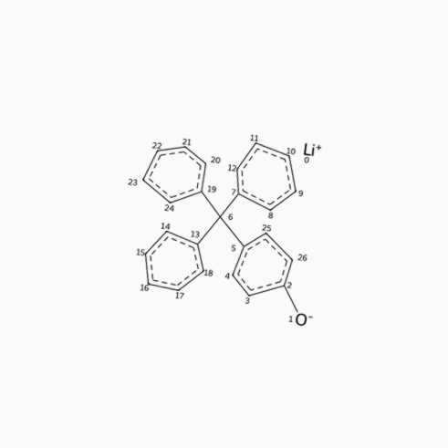 [Li+].[O-]c1ccc(C(c2ccccc2)(c2ccccc2)c2ccccc2)cc1